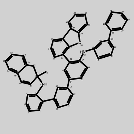 CC1(Nc2ccccc2-c2cccc(-c3ccc(Nc4cccc(-c5ccccc5)c4)c(-c4cccc5c4oc4ccccc45)c3)c2)C=Cc2ccccc2C1